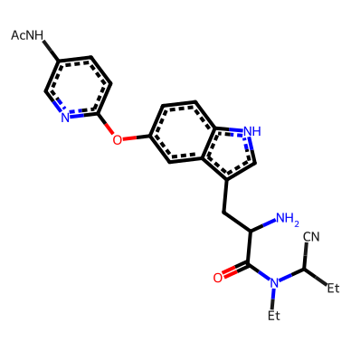 CCC(C#N)N(CC)C(=O)C(N)Cc1c[nH]c2ccc(Oc3ccc(NC(C)=O)cn3)cc12